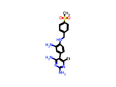 CCc1nc(N)nc(N)c1-c1ccc(NCc2ccc(S(C)(=O)=O)cc2)c(N)c1